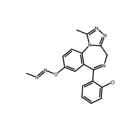 CN=NOc1ccc2c(c1)C(c1ccccc1Cl)=NCc1nnc(C)n1-2